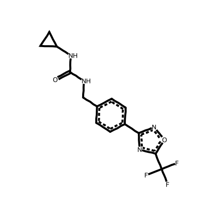 O=C(NCc1ccc(-c2noc(C(F)(F)F)n2)cc1)NC1CC1